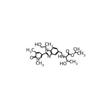 Cc1cc(-c2nc3cc(CNC(C(=O)OC(C)C)C(C)O)ccc3n2[C@@H](C)CO)cn(C)c1=O